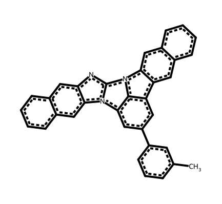 Cc1cccc(-c2cc3c4cc5ccccc5cc4n4c3c(c2)n2c3cc5ccccc5cc3nc24)c1